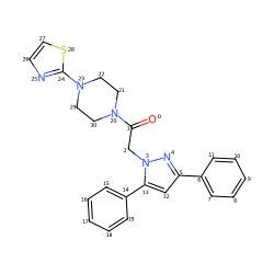 O=C(Cn1nc(-c2ccccc2)cc1-c1ccccc1)N1CCN(c2nccs2)CC1